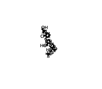 C[C@@H]1OCC2(CCN(c3ncc(Sc4ccnc(N5CC(CO)C5)c4Cl)nc3CO)CC2)[C@@H]1NC(=O)OC(C)(C)C